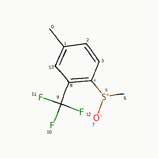 Cc1ccc([S+](C)[O-])c(C(F)(F)F)c1